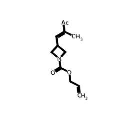 C=CCOC(=O)N1CC(C=C(C)C(C)=O)C1